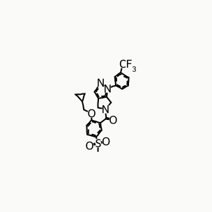 CS(=O)(=O)c1ccc(OCC2CC2)c(C(=O)N2Cc3cnn(-c4cccc(C(F)(F)F)c4)c3C2)c1